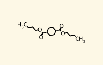 CCCCOC(=O)[C@H]1CC[C@@H](C(=O)OCCCC)CC1